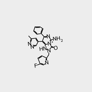 Cc1cc(-c2c(-c3ccccc3)nc(N)[n+]3c(=O)n(Cc4ccc(F)cn4)[nH]c23)cnn1